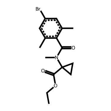 CCOC(=O)C1(N(C)C(=O)c2c(C)cc(Br)cc2C)CC1